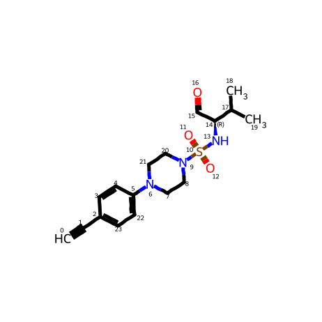 C#Cc1ccc(N2CCN(S(=O)(=O)N[C@@H](C=O)C(C)C)CC2)cc1